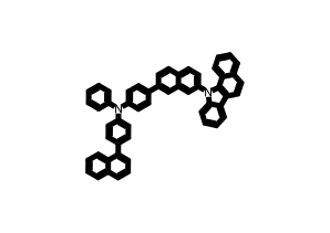 c1ccc(N(c2ccc(-c3ccc4ccc(-n5c6ccccc6c6ccc7ccccc7c65)cc4c3)cc2)c2ccc(-c3cccc4ccccc34)cc2)cc1